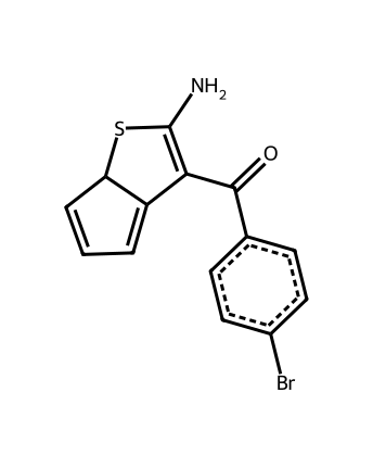 NC1=C(C(=O)c2ccc(Br)cc2)C2=CC=CC2S1